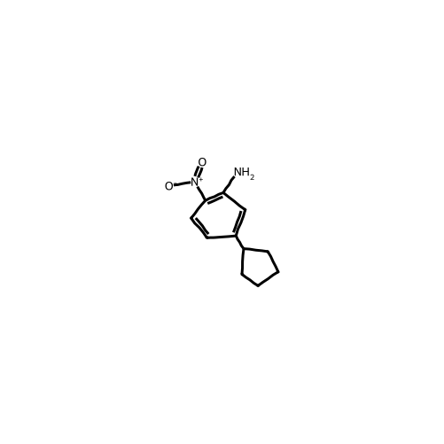 Nc1cc(C2CCCC2)ccc1[N+](=O)[O-]